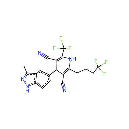 Cc1n[nH]c2ccc(C3C(C#N)=C(CCCC(F)(F)F)NC(C(F)(F)F)=C3C#N)cc12